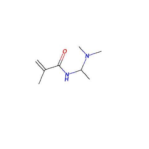 C=C(C)C(=O)NC(C)N(C)C